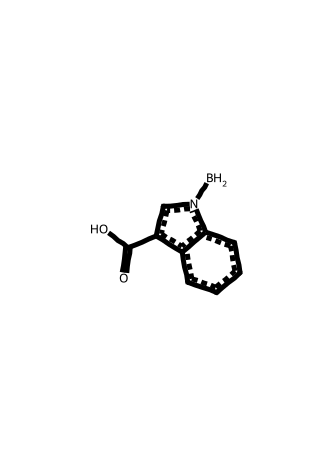 Bn1cc(C(=O)O)c2ccccc21